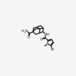 Cn1c(Br)ccc1C(=O)NC1C2CC3CC1CC(C(N)=O)(C3)C2